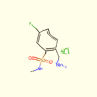 CNS(=O)(=O)c1cc(F)ccc1CN.Cl